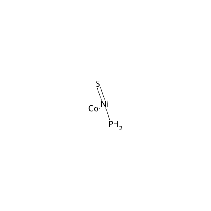 [Co].[PH2][Ni]=[S]